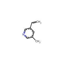 [CH2]c1cncc(C=C)c1